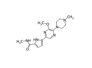 CNC(=O)C1=CC=S(c2cnc(N3CCN(C)CC3)c(OC)n2)N1